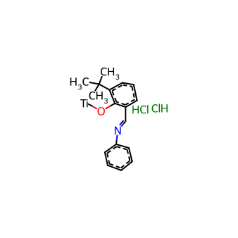 CC(C)(C)c1cccc(C=Nc2ccccc2)c1[O][Ti].Cl.Cl